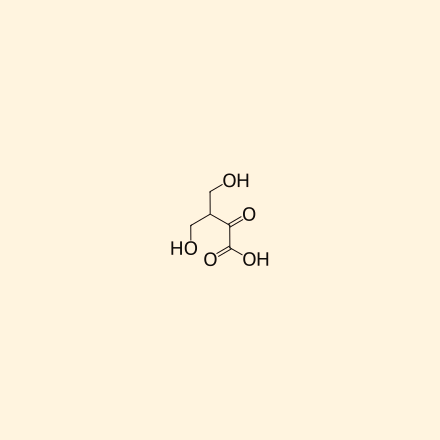 O=C(O)C(=O)C(CO)CO